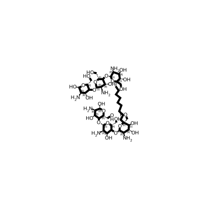 N[C@H]1[C@@H](OC2[C@@H](CO)O[C@@H](OC3[C@@H](CO)O[C@@H](O)[C@H](N)[C@H]3O)[C@H](N)[C@H]2O)O[C@@](CO)(CCCCCCCCC[C@]2(CO)O[C@H](OC3[C@@H](CO)O[C@@H](OC4[C@@H](CO)O[C@@H](O)[C@H](N)[C@H]4O)[C@H](N)[C@H]3O)[C@H](N)[C@@H](O)[C@@H]2O)[C@@H](O)[C@@H]1O